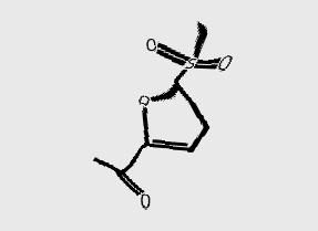 CC(=O)C1=CCC(S(C)(=O)=O)O1